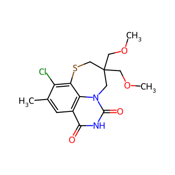 COCC1(COC)CSc2c(Cl)c(C)cc3c(=O)[nH]c(=O)n(c23)C1